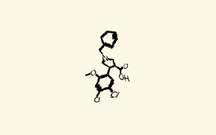 COc1cc(Cl)c(Cl)cc1C1CN(Cc2ccccc2)CC1C(=O)O